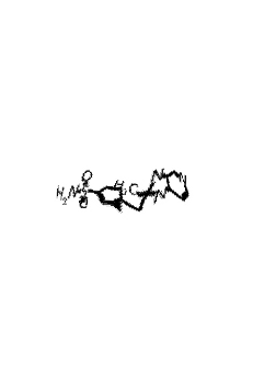 CC1(Cc2ccc(S(N)(=O)=O)cc2)N=c2ccncc2=N1